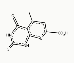 Cc1cc(C(=O)O)nc2[nH]c(=S)[nH]c(=O)c12